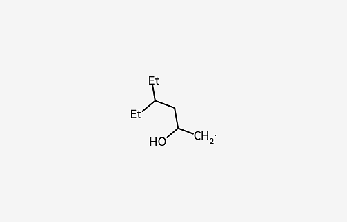 [CH2]C(O)CC(CC)CC